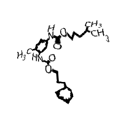 Cc1ccc(NC(=O)OCCCC(C)C)cc1NC(=O)OCCCc1ccccc1